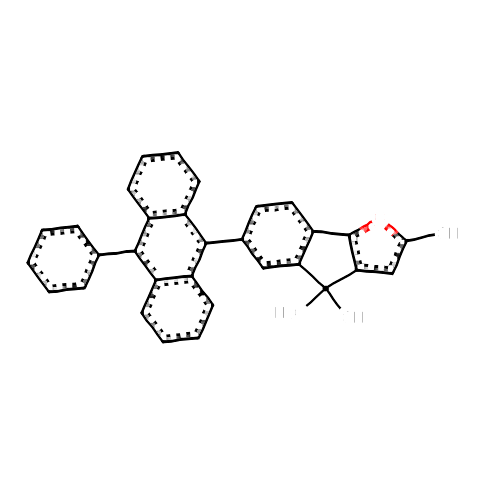 Cc1cc2c(o1)-c1ccc(-c3c4ccccc4c(-c4ccccc4)c4ccccc34)cc1C2(C)C